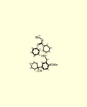 COc1ccc(C2(C#N)CCOCC2)cc1CN[C@H]1CCCN(C(=O)OC(C)(C)C)[C@H]1c1ccccc1